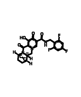 O=C(NCc1c(F)cc(F)cc1F)c1cn2c(c(O)c1=O)C(=O)N1[C@H]3CC[C@H](CC3)[C@H]1C2